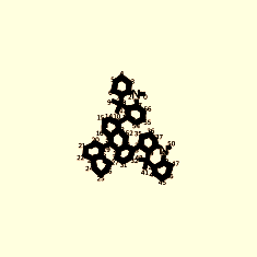 CN1c2ccccc2C(C)(C)c2c(-c3cccc4c(-c5cccc6ccccc56)c5cccc(-c6cccc7c6C(C)(C)c6ccccc6N7C)c5cc34)cccc21